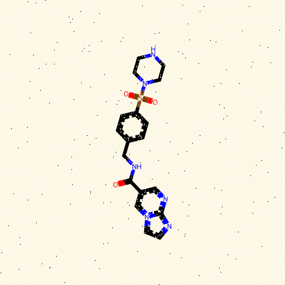 O=C(NCc1ccc(S(=O)(=O)N2CCNCC2)cc1)c1cnc2nccn2c1